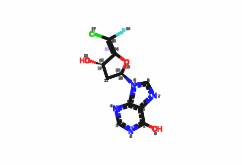 Oc1ncnc2c1ncn2[C@H]1C[C@H](O)/C(=C(/F)Cl)O1